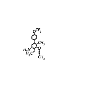 C=Cc1c(N)cc(-c2ccc(OC(F)(F)F)cc2)c(C)c1OC#CC